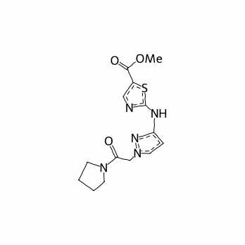 COC(=O)c1cnc(Nc2ccn(CC(=O)N3CCCC3)n2)s1